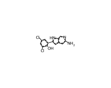 Nc1cc2cc(-c3cc(Cl)cc(Cl)c3O)[nH]c2cn1